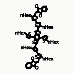 CCCCCCc1ccc(-c2c3cc(-c4sc(-c5cc(CCCCCC)c(C=C6C(=O)c7ccccc7C6=O)s5)cc4CCCCCC)sc3c(-c3ccc(CCCCCC)s3)c3cc(-c4sc(-c5cc(CCCCCC)c(C=C6C(=O)c7ccccc7C6=O)s5)cc4CCCCCC)sc23)s1